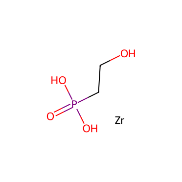 O=P(O)(O)CCO.[Zr]